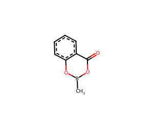 CB1OC(=O)c2ccccc2O1